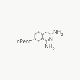 CCCCCc1ccc2cc(N)nc(N)c2c1